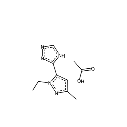 CC(=O)O.CCn1nc(C)cc1-c1nnc[nH]1